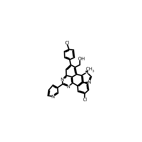 Cn1cncc1-c1c(CO)c(-c2ccc(Cl)cc2)cc2nc(-c3cccnc3)nc(-c3cccc(Cl)c3)c12